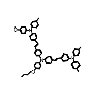 CCCCOc1ccc(N(c2ccc(/C=C/c3ccc(N(c4ccc(C)cc4)c4ccc(C)cc4)cc3)cc2)c2ccc(/C=C/c3ccc(N(c4ccc(C)cc4)c4ccc(OC)cc4)cc3)cc2)cc1